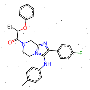 CCC(Oc1ccccc1)C(=O)N1CCn2c(nc(-c3ccc(F)cc3)c2Nc2ccc(C)cc2)C1